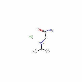 CC(C)NCC(N)=O.Cl